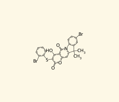 CC1(C)c2cc(Br)ccc2-n2c1cc1oc(=O)c(Sc3ccccc3Br)c(O)c1c2=O